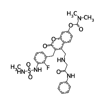 CNS(=O)(=O)Nc1cccc(Cc2c(CNCC(=O)Nc3ccccc3)c3ccc(OC(=O)N(C)C)cc3oc2=O)c1F